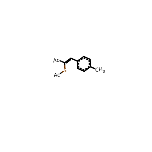 CC(=O)S/C(=C\c1ccc(C)cc1)C(C)=O